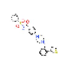 O=C(NS(=O)(=O)c1ccccc1)c1ccc(N2CCN(Cc3ccccc3-c3ccsc3)CC2)cc1